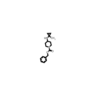 CC1(NC2CCN(C(=O)OCc3ccccc3)CC2)CC1